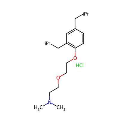 CC(C)Cc1ccc(OCCOCCN(C)C)c(CC(C)C)c1.Cl